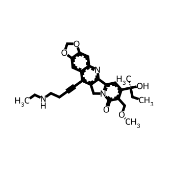 CCNCCC#Cc1c2c(nc3cc4c(cc13)OCO4)-c1cc([C@@](C)(O)CC)c(COC)c(=O)n1C2